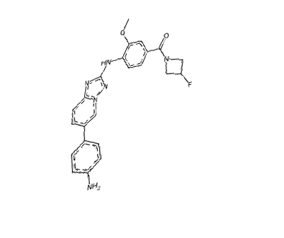 COc1cc(C(=O)N2CC(F)C2)ccc1Nc1nc2ccc(-c3ccc(N)cc3)cn2n1